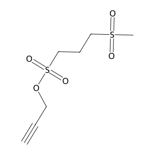 C#CCOS(=O)(=O)CCCS(C)(=O)=O